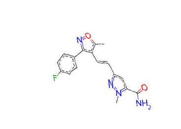 Cc1onc(-c2ccc(F)cc2)c1C=Cc1cc(C(N)=O)n(C)n1